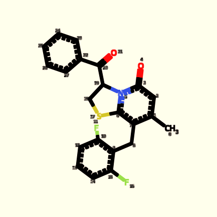 Cc1cc(=O)n2c(c1Cc1c(F)cccc1F)SCC2C(=O)c1ccccc1